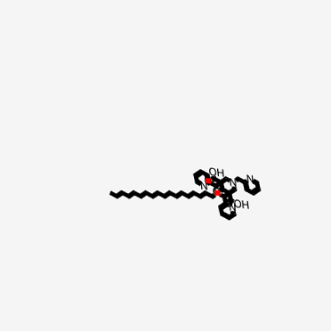 CCCCCCCCCCCCCCCCCCN1C(c2ccccn2)C2(C(=O)O)CN(Cc3ccccn3)CC(C(=O)O)(C2=O)C1c1ccccn1